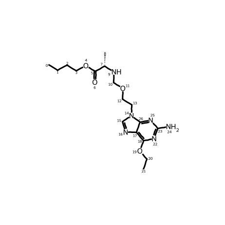 CCCCOC(=O)[C@H](C)NCOCCn1cnc2c(OCC)nc(N)nc21